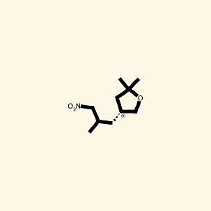 CC(C[C@H]1COC(C)(C)C1)C[N+](=O)[O-]